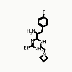 CC/C(N)=N/C(NCCN1CCC1)=C(\N)Cc1ccc(F)cc1